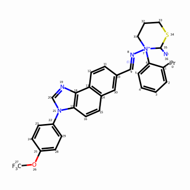 CC(C)c1ccccc1[N+]1(/N=C/c2ccc3c(ccc4c3ncn4-c3ccc(OC(F)(F)F)cc3)c2)CCCSC1[N]